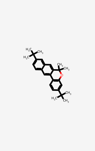 CC(C)(C)c1ccc2c(c1)OC(C)(C)c1cc3cc(C(C)(C)C)ccc3cc1-2